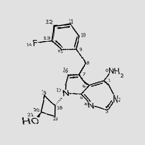 Nc1ncnc2c1c(Cc1cccc(F)c1)cn2[C@H]1C[C@H](O)C1